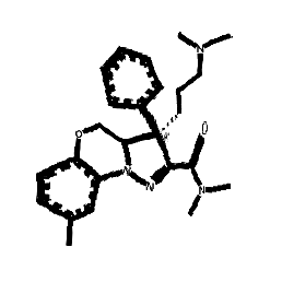 Cc1ccc2c(c1)N1N=C(C(=O)N(C)C)[C@](CCCN(C)C)(c3ccccc3)C1CO2